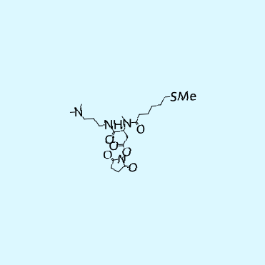 CSCCCCCC(=O)N(C)[C@@H](CC(=O)ON1C(=O)CCC1=O)C(=O)NCCCN(C)C